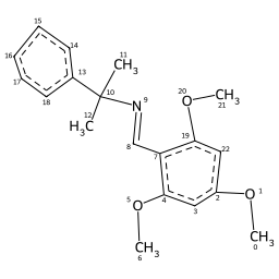 COc1cc(OC)c(C=NC(C)(C)c2ccccc2)c(OC)c1